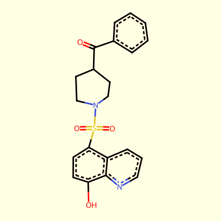 O=C(c1ccccc1)C1CCN(S(=O)(=O)c2ccc(O)c3ncccc23)CC1